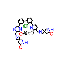 COc1nc(-c2cccc(-c3cccc(-c4cnc(CN5CC6(CNC(=O)C6)C5)c(OC5CC5)n4)c3Cl)c2Cl)ccc1CN1CC2(CNC(=O)C2)C1